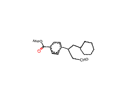 COC(=O)c1ccc(C(CC=O)CC2CCCCC2)cc1